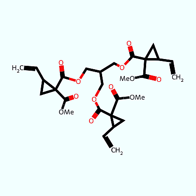 C=CC1CC1(C(=O)OC)C(=O)OCC(COC(=O)C1(C(=O)OC)CC1C=C)COC(=O)C1(C(=O)OC)CC1C=C